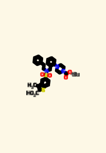 Cc1c(C(=O)O)sc2ccc(S(=O)(=O)N(CCc3ccccc3)Cc3ccccc3N3CCN(C(=O)OC(C)(C)C)CC3)cc12